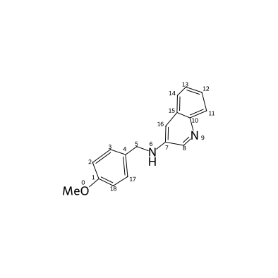 COc1ccc(CNc2cnc3ccccc3c2)cc1